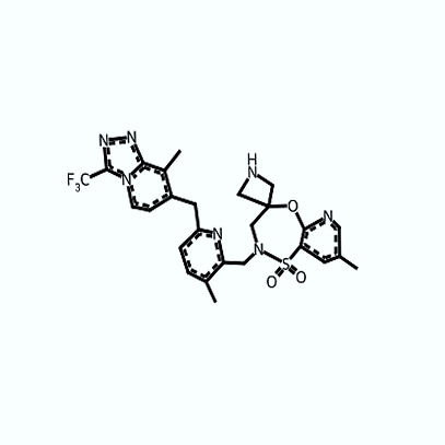 Cc1cnc2c(c1)S(=O)(=O)N(Cc1nc(Cc3ccn4c(C(F)(F)F)nnc4c3C)ccc1C)CC1(CNC1)O2